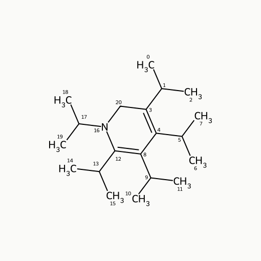 CC(C)C1=C(C(C)C)C(C(C)C)=C(C(C)C)N(C(C)C)C1